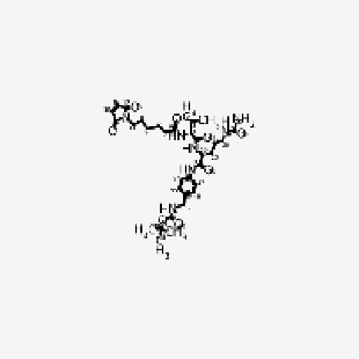 CC(C)[C@H](NC(=O)CCCCCN1C(=O)C=CC1=O)C(=O)N[C@@H](CCCNC(N)=O)C(=O)Nc1ccc(CNC(=O)OC(C)(C)C)cc1